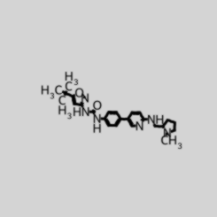 CN1CCCC1CNc1ccc(-c2ccc(NC(=O)Nc3cc(C(C)(C)C)on3)cc2)cn1